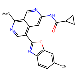 CNc1ncc(-c2nc3ccc(C#N)cc3o2)c2cc(NC(=O)C3CC3)ncc12